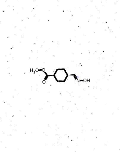 COC(=O)[C@H]1CC[C@@H](/C=N/O)CC1